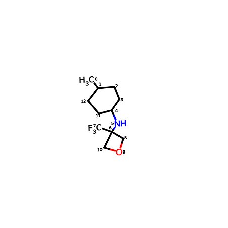 CC1CCC(NC2(C(F)(F)F)COC2)CC1